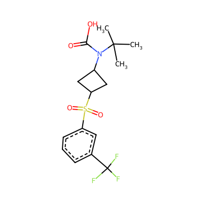 CC(C)(C)N(C(=O)O)C1CC(S(=O)(=O)c2cccc(C(F)(F)F)c2)C1